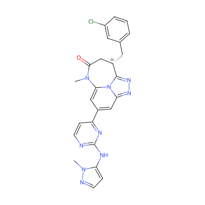 CN1C(=O)C[C@H](Cc2cccc(Cl)c2)c2nnc3cc(-c4ccnc(Nc5ccnn5C)n4)cc1n23